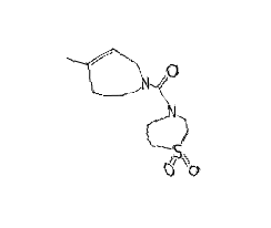 CC1=CCN(C(=O)N2CCS(=O)(=O)CC2)CC1